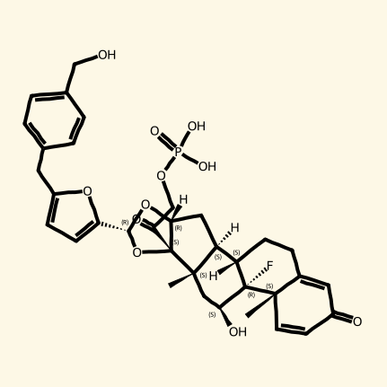 C[C@]12C=CC(=O)C=C1CC[C@H]1[C@@H]3C[C@H]4O[C@@H](c5ccc(Cc6ccc(CO)cc6)o5)O[C@@]4(C(=O)COP(=O)(O)O)[C@@]3(C)C[C@H](O)[C@@]12F